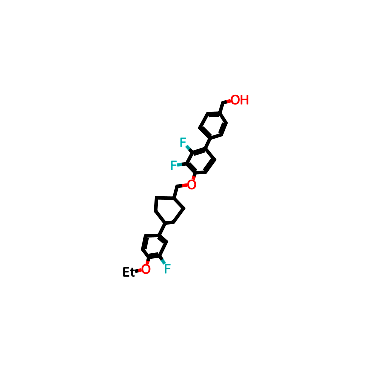 CCOc1ccc(C2CCC(COc3ccc(-c4ccc(CO)cc4)c(F)c3F)CC2)cc1F